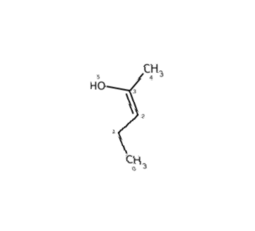 CCC=C(C)O